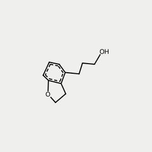 OCCCc1cccc2c1CCO2